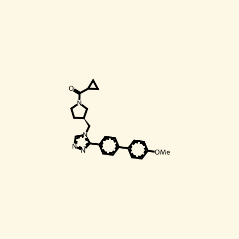 COc1ccc(-c2ccc(-c3nncn3C[C@H]3CCN(C(=O)C4CC4)C3)cc2)cc1